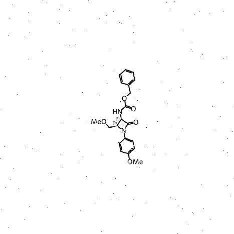 COC[C@H]1[C@@H](NC(=O)OCc2ccccc2)C(=O)N1c1ccc(OC)cc1